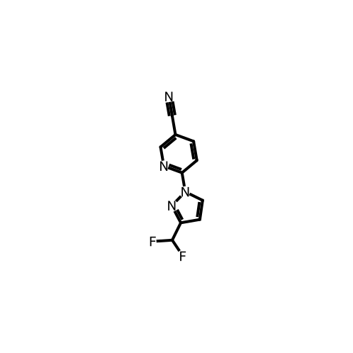 N#Cc1ccc(-n2ccc(C(F)F)n2)nc1